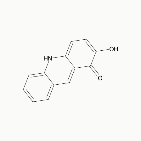 O=c1c(O)ccc2[nH]c3ccccc3cc1-2